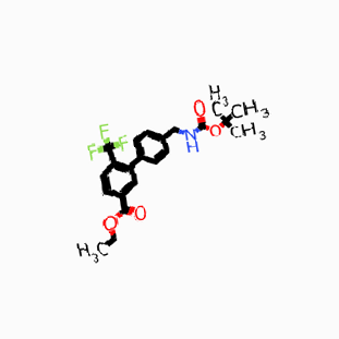 CCOC(=O)c1ccc(C(F)(F)F)c(-c2ccc(CNC(=O)OC(C)(C)C)cc2)c1